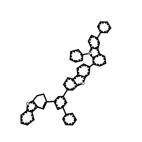 C1=C(c2cc(-c3ccccc3)cc(-c3ccc4c(c3)oc3cc(-c5cccc6c7cc(-c8ccccc8)ccc7n(-c7ccccc7)c56)ccc34)c2)CCc2oc3ccccc3c21